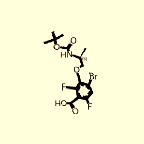 C[C@@H](COc1c(Br)cc(F)c(C(=O)O)c1F)NC(=O)OC(C)(C)C